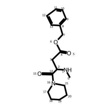 CNC(CC(=O)OCc1ccccc1)C(=O)N1CCCCC1